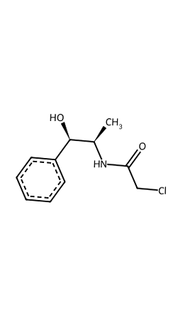 C[C@@H](NC(=O)CCl)[C@H](O)c1ccccc1